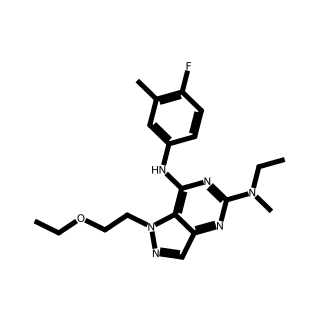 CCOCCn1ncc2nc(N(C)CC)nc(Nc3ccc(F)c(C)c3)c21